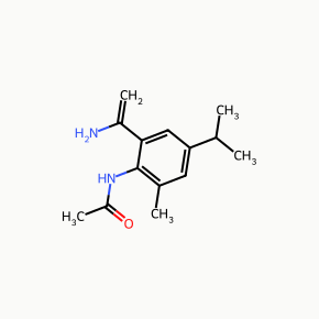 C=C(N)c1cc(C(C)C)cc(C)c1NC(C)=O